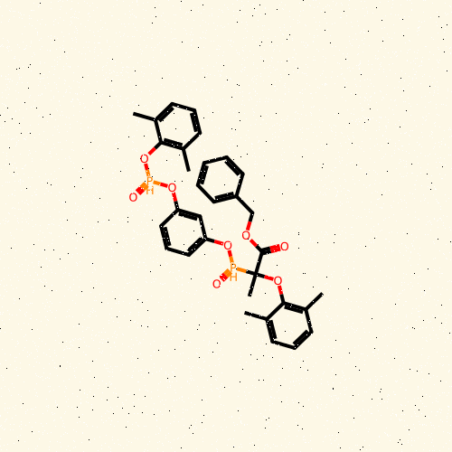 Cc1cccc(C)c1O[PH](=O)Oc1cccc(O[PH](=O)C(C)(Oc2c(C)cccc2C)C(=O)OCc2ccccc2)c1